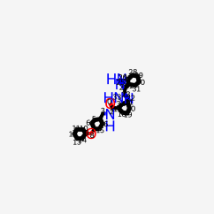 O=C(NCc1ccc(Oc2ccccc2)cc1)c1cccc2nc(-c3n[nH]c4ccccc34)[nH]c12